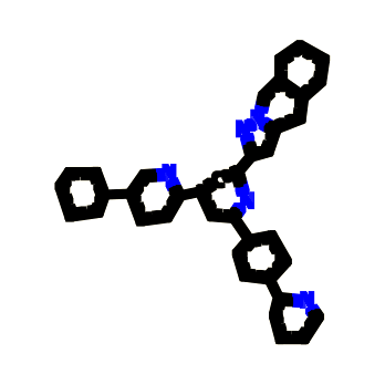 c1ccc(-c2ccc(-c3cc(-c4ccc(-c5ccccn5)cc4)nc(-c4cc5cc6ccccc6cn5n4)c3)nc2)cc1